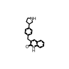 O=c1[nH]c2ccccc2cc1Cc1ccc(C2CCNC2)cc1